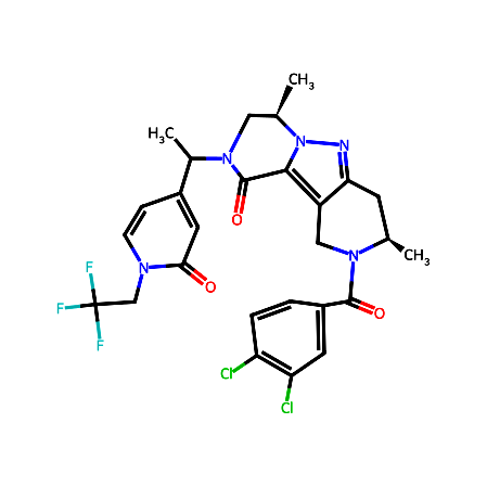 CC(c1ccn(CC(F)(F)F)c(=O)c1)N1C[C@@H](C)n2nc3c(c2C1=O)CN(C(=O)c1ccc(Cl)c(Cl)c1)[C@H](C)C3